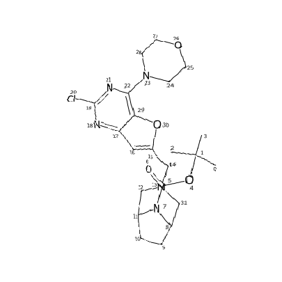 CC(C)(C)OC(=O)N1C2CCC1CN(Cc1cc3nc(Cl)nc(N4CCOCC4)c3o1)C2